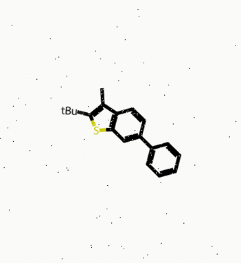 Cc1c(C(C)(C)C)sc2cc(-c3ccccc3)ccc12